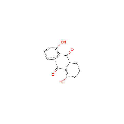 O=C1C2=C(O)CCC=C2C(=O)c2c(O)cccc21